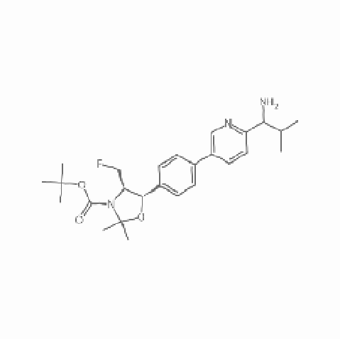 CC(C)C(N)c1ccc(-c2ccc([C@H]3OC(C)(C)N(C(=O)OC(C)(C)C)[C@H]3CF)cc2)cn1